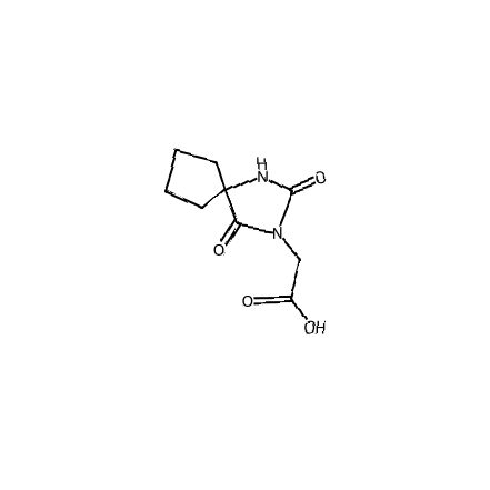 O=C(O)CN1C(=O)NC2(CCCC2)C1=O